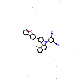 N#Cc1cc(C#N)cc(-n2c3ccc(-c4ccc5c(c4)oc4ccccc45)cc3c3c4ccccc4ccc32)c1